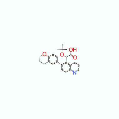 CC(C)(C)OC(C(=O)O)c1c(-c2ccc3c(c2)CCCO3)ccc2ncccc12